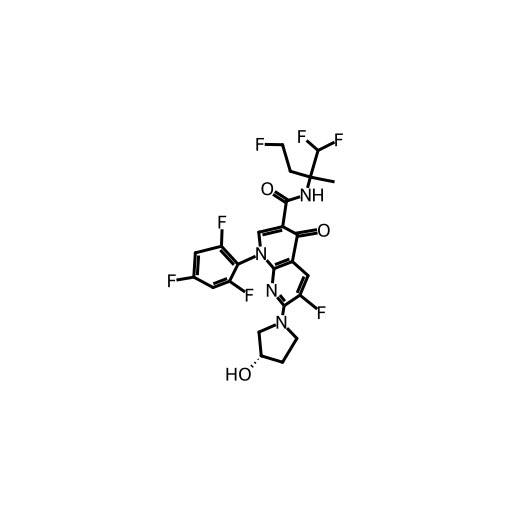 CC(CCF)(NC(=O)c1cn(-c2c(F)cc(F)cc2F)c2nc(N3CC[C@H](O)C3)c(F)cc2c1=O)C(F)F